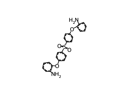 Nc1ccccc1Oc1ccc(S(=O)(=O)c2ccc(Oc3ccccc3N)cc2)cc1